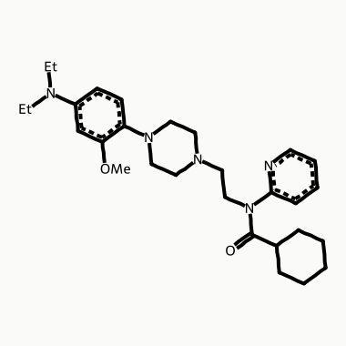 CCN(CC)c1ccc(N2CCN(CCN(C(=O)C3CCCCC3)c3ccccn3)CC2)c(OC)c1